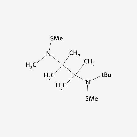 CSN(C)C(C)(C)C(C)(C)N(SC)C(C)(C)C